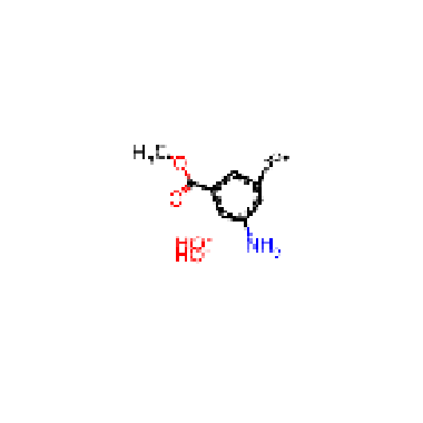 [B+2]c1cc(N)cc(C(=O)OC)c1.[OH-].[OH-]